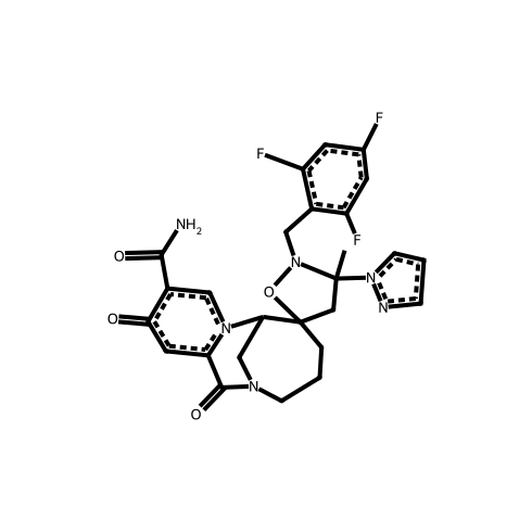 CC1(n2cccn2)CC2(CCCN3CC2n2cc(C(N)=O)c(=O)cc2C3=O)ON1Cc1c(F)cc(F)cc1F